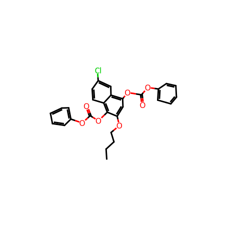 CCCCOc1cc(OC(=O)Oc2ccccc2)c2cc(Cl)ccc2c1OC(=O)Oc1ccccc1